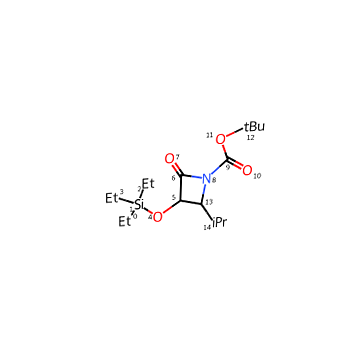 CC[Si](CC)(CC)OC1C(=O)N(C(=O)OC(C)(C)C)C1C(C)C